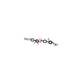 CCOCc1ccc(C2CCC(C(=O)Oc3ccc(C4CCC(OC)CC4)c(F)c3F)CC2)c(F)c1